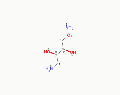 NC[C@@H](O)[C@H](O)CON